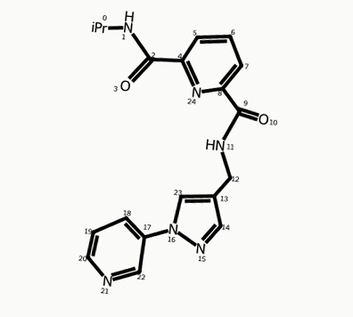 CC(C)NC(=O)c1cccc(C(=O)NCc2cnn(-c3cccnc3)c2)n1